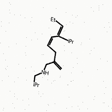 C=C(C/C=C\C(=C/CC)C(C)C)CNCC(C)C